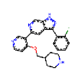 Fc1ccccc1-c1n[nH]c2cnc(-c3cnccc3OCC3CCNCC3)cc12